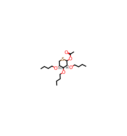 CCCCO[C@H]1[C@H](OCCCC)CSC(OC(C)=O)[C@@H]1OCCCC